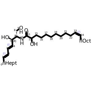 CCCCCCC/C=C/C=C/[C@@H](O)[C@H](CO)NC(=O)C(O)CCCCCCCC/C=C\CCCCCCCC